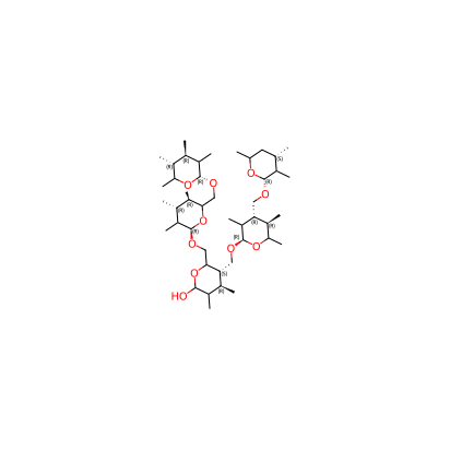 CC1C[C@H](C)C(C)[C@H](OC[C@H]2C(C)[C@H](OC[C@H]3C(CO[C@@H]4OC(CO[C@@H]5OC(C)[C@H](C)[C@@H](C)C5C)[C@H](C)[C@@H](C)C4C)OC(O)C(C)[C@@H]3C)OC(C)[C@@H]2C)O1